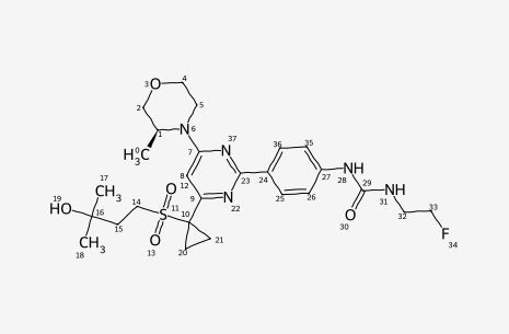 C[C@H]1COCCN1c1cc(C2(S(=O)(=O)CCC(C)(C)O)CC2)nc(-c2ccc(NC(=O)NCCF)cc2)n1